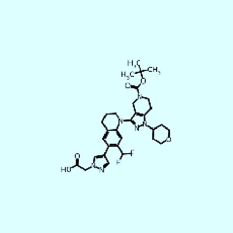 CC(C)(C)OC(=O)N1CCc2c(c(N3CCCc4cc(-c5cnn(CC(=O)O)c5)c(C(F)F)cc43)nn2C2CCOCC2)C1